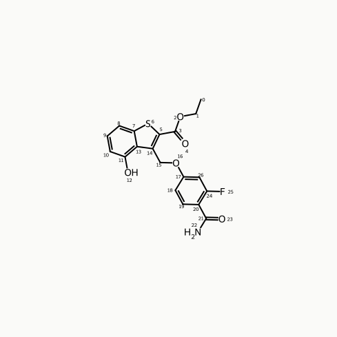 CCOC(=O)c1sc2cccc(O)c2c1COc1ccc(C(N)=O)c(F)c1